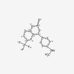 CNc1ccc(-c2cc(=O)oc3ccc(C(F)(F)F)cc23)cc1